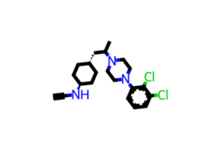 C#CN[C@H]1CC[C@H](CC(C)N2CCN(c3cccc(Cl)c3Cl)CC2)CC1